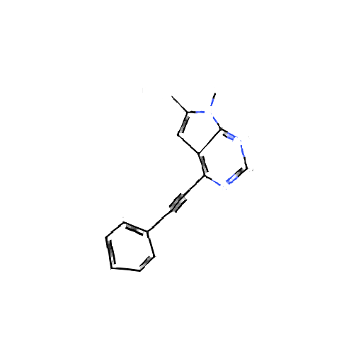 CCOC(=O)c1cc2c(C#Cc3ccccc3)ncnc2n1C